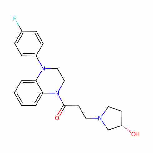 O=C(CCN1CC[C@H](O)C1)N1CCN(c2ccc(F)cc2)c2ccccc21